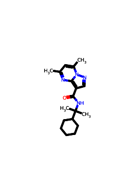 Cc1cc(C)n2ncc(C(=O)NC(C)(C)C3CCCCC3)c2n1